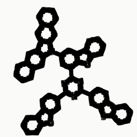 c1ccc2cc3c(cc2c1)c1cc2ccccc2cc1n3-c1cc(-c2nc(-c3ccc4c(c3)oc3ccccc34)nc(-c3ccc4c(c3)sc3ccccc34)n2)c2oc3ccccc3c2c1